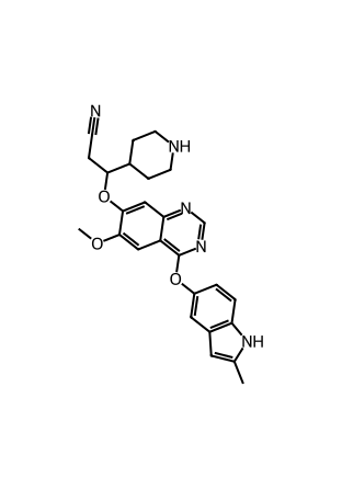 COc1cc2c(Oc3ccc4[nH]c(C)cc4c3)ncnc2cc1OC(CC#N)C1CCNCC1